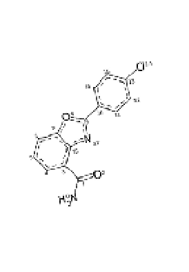 NC(=O)c1cccc2oc(-c3ccc(Cl)cc3)nc12